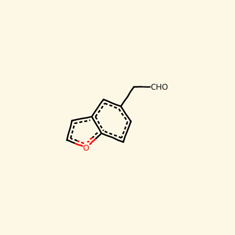 O=CCc1ccc2occc2c1